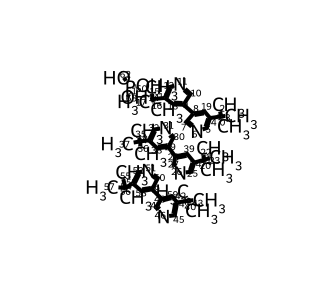 CC(C)(C)c1cncc(-c2cncc(C(C)(C)C)c2)c1.CC(C)(C)c1cncc(-c2cncc(C(C)(C)C)c2)c1.CC(C)(C)c1cncc(-c2cncc(C(C)(C)C)c2)c1.OP(O)O